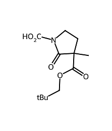 CC(C)(C)COC(=O)C1(C)CCN(C(=O)O)C1=O